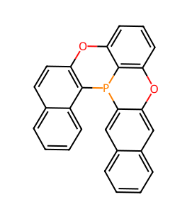 c1cc2c3c(c1)Oc1ccc4ccccc4c1P3c1cc3ccccc3cc1O2